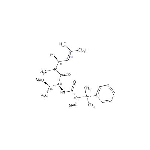 CN[C@H](C(=O)N[C@H](C(=O)N(C)[C@H](/C=C(\C)C(=O)O)C(C)C)[C@@H](C)OC)C(C)(C)c1ccccc1